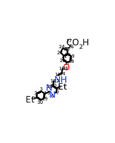 CCc1ccc(-c2ncc(CC)c(CNCCCOc3ccc4c(c3)CC[C@H]4CC(=O)O)n2)cc1